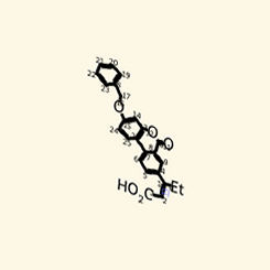 CC/C(=C/C(=O)O)c1ccc2c(c1)c(=O)oc1cc(OCc3ccccc3)ccc12